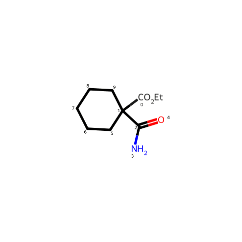 CCOC(=O)C1(C(N)=O)CCCCC1